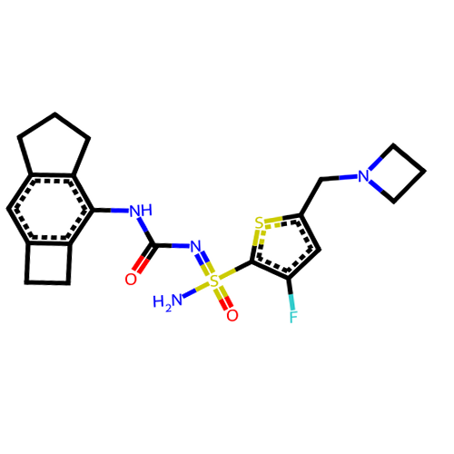 NS(=O)(=NC(=O)Nc1c2c(cc3c1CC3)CCC2)c1sc(CN2CCC2)cc1F